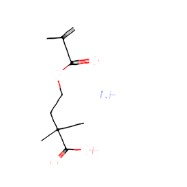 C=C(C)C(=O)OCCC(C)(C)C(=O)O.N